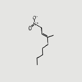 CCCCCC(C)=CC[N+](=O)[O-]